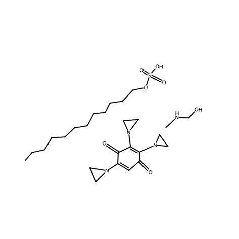 CCCCCCCCCCCCOS(=O)(=O)O.CNCO.O=C1C=C(N2CC2)C(=O)C(N2CC2)=C1N1CC1